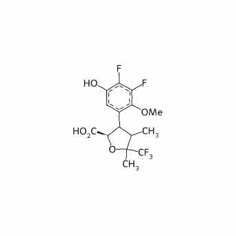 COc1c(C2C(C)C(C)(C(F)(F)F)O[C@H]2C(=O)O)cc(O)c(F)c1F